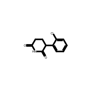 O=C1CCC(c2ccccc2Cl)C(=O)N1